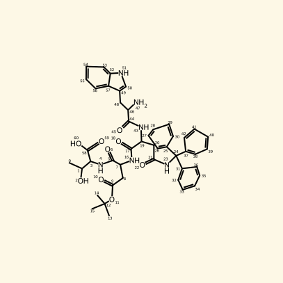 CC(O)C(NC(=O)C(CC(=O)OC(C)(C)C)NC(=O)C(CC(=O)NC(c1ccccc1)(c1ccccc1)c1ccccc1)NC(=O)C(N)Cc1c[nH]c2ccccc12)C(=O)O